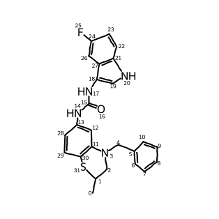 CC1CN(Cc2ccccc2)c2cc(NC(=O)Nc3c[nH]c4ccc(F)cc34)ccc2S1